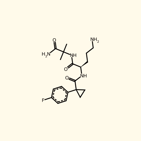 CC(C)(NC(=O)[C@@H](CCCN)NC(=O)C1(c2ccc(F)cc2)CC1)C(N)=O